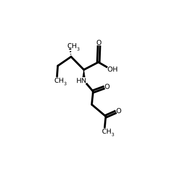 CC[C@H](C)[C@H](NC(=O)CC(C)=O)C(=O)O